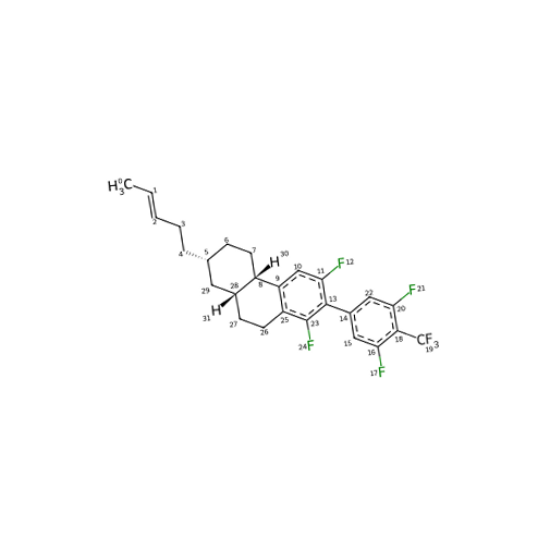 C/C=C/CC[C@@H]1CC[C@@H]2c3cc(F)c(-c4cc(F)c(C(F)(F)F)c(F)c4)c(F)c3CC[C@@H]2C1